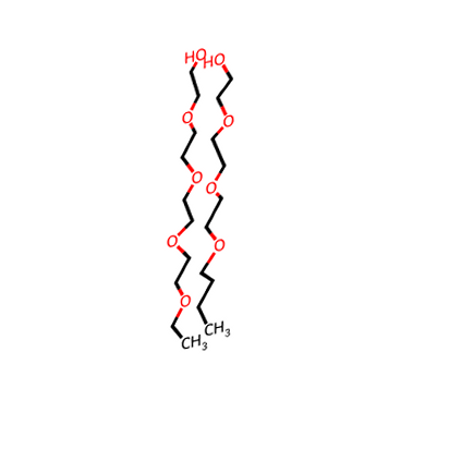 CCCCOCCOCCOCCO.CCOCCOCCOCCOCCO